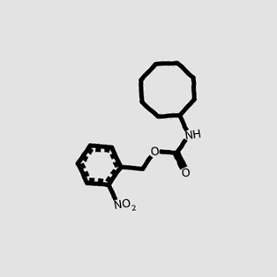 O=C(NC1CCCCCCC1)OCc1ccccc1[N+](=O)[O-]